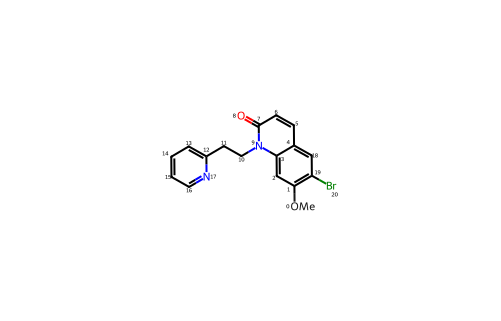 COc1cc2c(ccc(=O)n2CCc2ccccn2)cc1Br